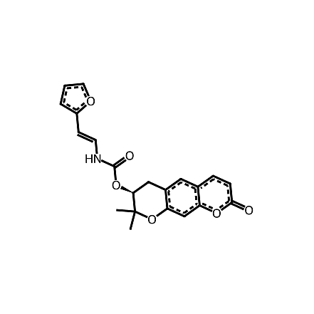 CC1(C)Oc2cc3oc(=O)ccc3cc2C[C@@H]1OC(=O)N/C=C/c1ccco1